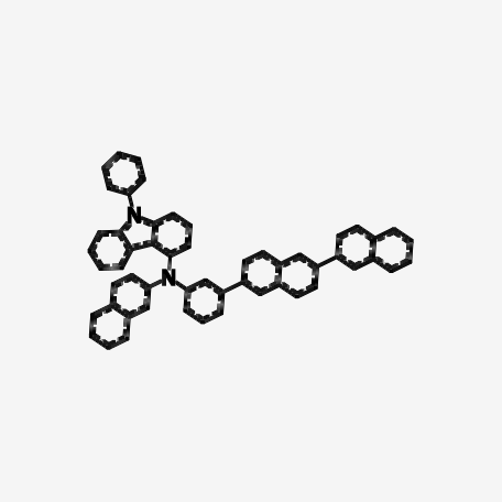 c1ccc(-n2c3ccccc3c3c(N(c4cccc(-c5ccc6cc(-c7ccc8ccccc8c7)ccc6c5)c4)c4ccc5ccccc5c4)cccc32)cc1